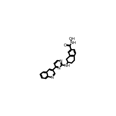 O=C(NO)c1ccc2c(c1)CC(Nc1nccc(-c3cnc4ccccc4c3)n1)CC2